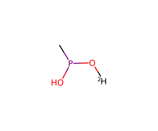 [2H]OP(C)O